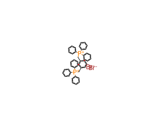 [Br-].[Br-].c1ccc([P+](Cc2cccc(C[P+](c3ccccc3)(c3ccccc3)c3ccccc3)c2)(c2ccccc2)c2ccccc2)cc1